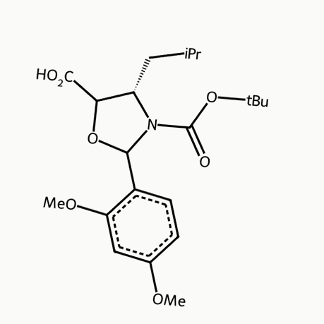 COc1ccc(C2OC(C(=O)O)[C@H](CC(C)C)N2C(=O)OC(C)(C)C)c(OC)c1